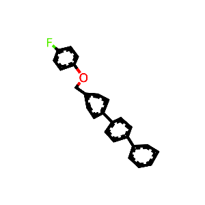 Fc1ccc(OCc2ccc(-c3ccc(-c4ccccc4)cc3)cc2)cc1